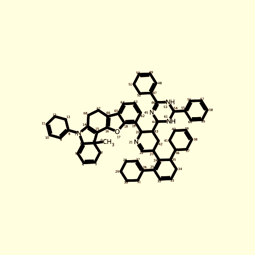 CC12CC=CC=C1N(C1=CC=CCC1)C1=C2c2oc3c(C4N=CC(C5=C(C6=CCCCC6)C=CCC5C5CC=CCC5)CC4C4N=C(C5=CC=CCC5)NC(c5ccccc5)N4)cccc3c2CC1